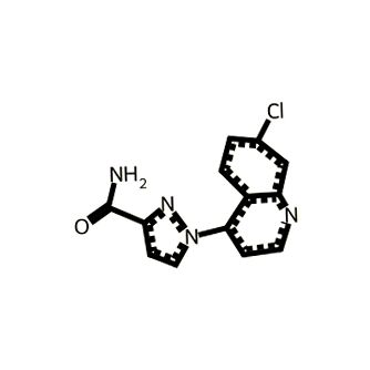 NC(=O)c1ccn(-c2ccnc3cc(Cl)ccc23)n1